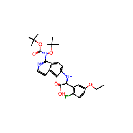 CCOc1ccc(F)c(C(Nc2ccc3c(N(OC(C)(C)C)C(=O)OC(C)(C)C)nccc3c2)C(=O)O)c1